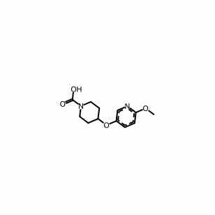 COc1ccc(OC2CCN(C(=O)O)CC2)cn1